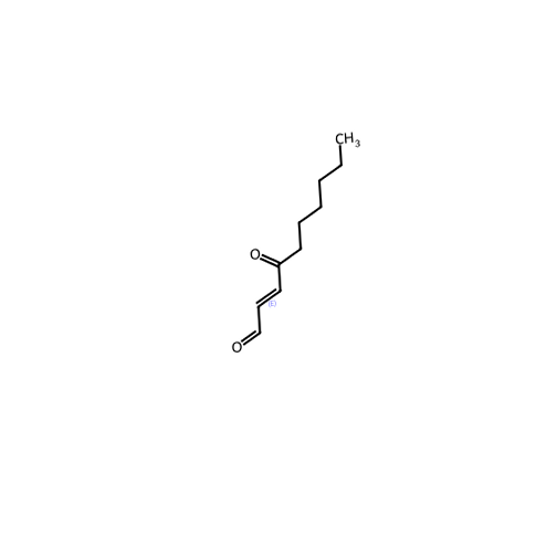 CCCCCCC(=O)/C=C/C=O